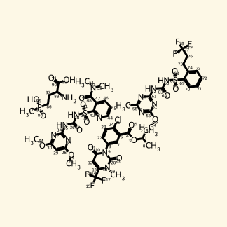 CC(C)OC(=O)c1cc(-n2c(=O)cc(C(F)(F)F)n(C)c2=O)ccc1Cl.COc1cc(OC)nc(NC(=O)NS(=O)(=O)c2ncccc2C(=O)N(C)C)n1.COc1nc(C)nc(NC(=O)NS(=O)(=O)c2ccccc2CCC(F)(F)F)n1.CP(=O)(O)CCC(N)C(=O)O